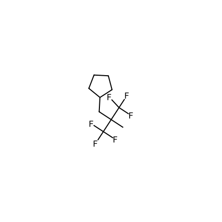 CC(CC1CCCC1)(C(F)(F)F)C(F)(F)F